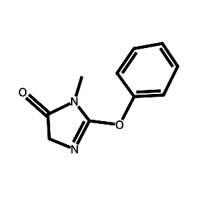 CN1C(=O)CN=C1Oc1ccccc1